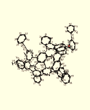 Cc1ccc2c(c1)c1ccccc1n2-c1cc(-c2cc(-c3ccccc3)nc(-c3ccccc3)n2)c(-n2c3ccccc3c3cc(C)ccc32)c(-c2cc(-c3ccccc3)nc(-c3ccccc3)n2)c1-n1c2ccc(-c3ccccc3)cc2c2cc(-c3cccc(-c4ccccc4)n3)ccc21